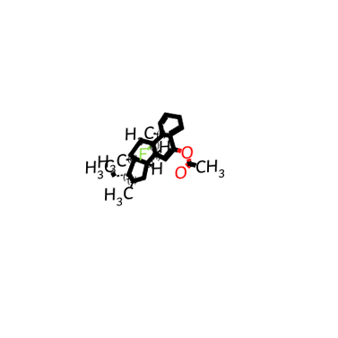 CC[C@H]1[C@@H](C)C[C@H]2[C@@H]3C=C(OC(C)=O)C4=CCC=C[C@]4(C)[C@@]3(F)CC[C@]12C